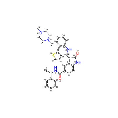 CC[C@@H](NC(=O)c1ccc2c(c1)/C(=C(/Nc1cccc(CN3CCN(C)CC3)c1)c1ccsc1)C(=O)N2)c1ccccc1